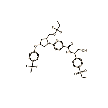 CCC(F)(F)OC[C@@H]1C[C@@H](Oc2ccc(C(F)(F)F)cc2)CN1c1ncc(C(=O)N[C@@H](CO)c2ccc(S(=O)(=O)CC)cc2)cn1